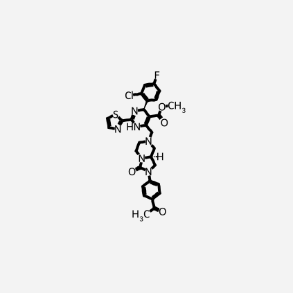 COC(=O)C1=C(CN2CCN3C(=O)N(c4ccc(C(C)=O)cc4)C[C@@H]3C2)NC(c2nccs2)=N[C@H]1c1ccc(F)cc1Cl